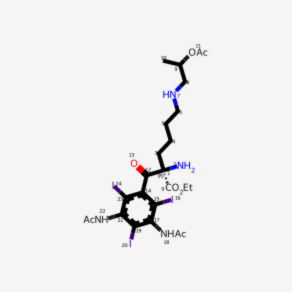 CCOC(=O)[C@@](N)(CCCCNCC(C)OC(C)=O)C(=O)c1c(I)c(NC(C)=O)c(I)c(NC(C)=O)c1I